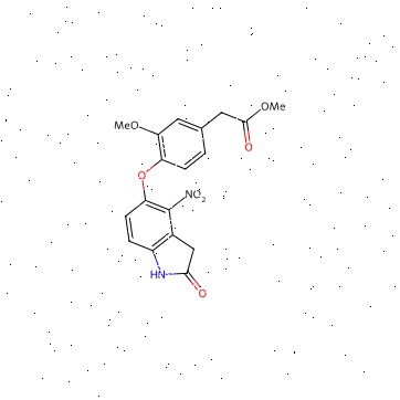 COC(=O)Cc1ccc(Oc2ccc3c(c2[N+](=O)[O-])CC(=O)N3)c(OC)c1